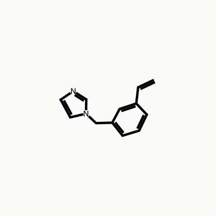 C=Cc1cccc(Cn2ccnc2)c1